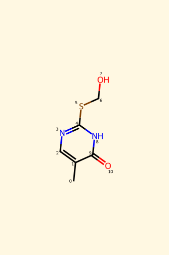 Cc1cnc(SCO)[nH]c1=O